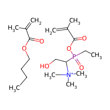 C=C(C)C(=O)OCCCC.C=C(C)C(=O)OP(=O)(CC)C(CO)[N+](C)(C)C